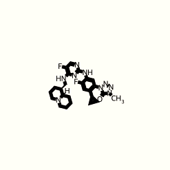 Cn1nnn(-c2cc(Nc3ncc(F)c(NC[C@@H]4CCCN5CCCC[C@H]45)n3)c(F)cc2C2CC2)c1=O